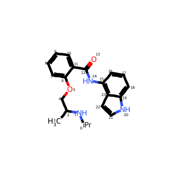 CC(C)NC(C)COc1ccccc1C(=O)Nc1cccc2[nH]ccc12